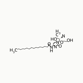 CCCCCCCCCCCCCCCC(=O)Nc1ccn([C@H](OCCO)[C@@H](C#N)[C@@H](C)O)c(=O)n1